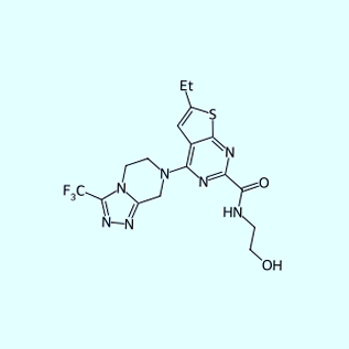 CCc1cc2c(N3CCn4c(nnc4C(F)(F)F)C3)nc(C(=O)NCCO)nc2s1